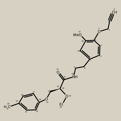 C#CCOc1ccc(CCNC(=O)[C@H](COc2ccc(C)cc2)OCC)cc1OC